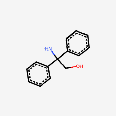 [NH]C(CO)(c1ccccc1)c1ccccc1